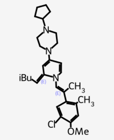 CCC(C)/C=C1\C=C(N2CCN(C3CCCC3)CC2)C=CN1/C=C(\C)c1cc(Cl)c(OC)cc1C